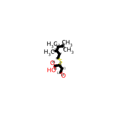 CC(C)C(C)C(C)CCSC(CC=O)C(=O)O